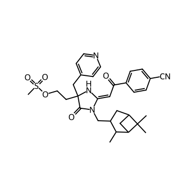 CC1C(CN2C(=O)C(CCOS(C)(=O)=O)(Cc3ccncc3)NC2=CC(=O)c2ccc(C#N)cc2)CC2CC1C2(C)C